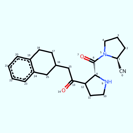 N#C[C@@H]1CCCN1C(=O)[C@@H]1NCCC1C(=O)CC1CCc2ccccc2C1